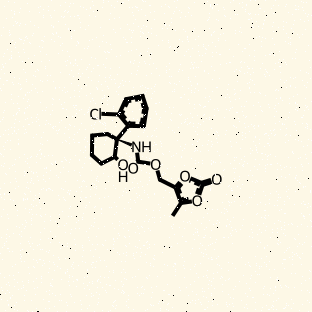 Cc1oc(=O)oc1COC(=O)N[C@]1(c2ccccc2Cl)CCCCC1O